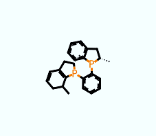 CC1CC=CC2=C1P(c1ccccc1P1c3ccccc3C[C@@H]1C)[C@@H](C)C2